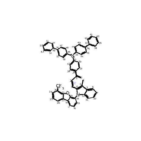 C=C(/C=C\c1c(C)c2ccccc2n1-c1cccc2c1oc1c(C(F)(F)F)cccc12)c1ccc(N(c2ccc(-c3ccccc3)cc2)c2ccc(-c3ccccc3)cc2)cc1